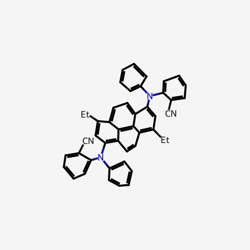 CCc1cc(N(c2ccccc2)c2ccccc2C#N)c2ccc3c(CC)cc(N(c4ccccc4)c4ccccc4C#N)c4ccc1c2c34